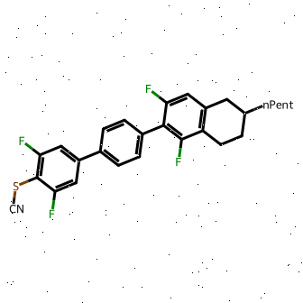 CCCCCC1CCc2c(cc(F)c(-c3ccc(-c4cc(F)c(SC#N)c(F)c4)cc3)c2F)C1